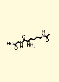 CC(=O)NCCCC[C@H](N)C(=O)NCC(=O)O